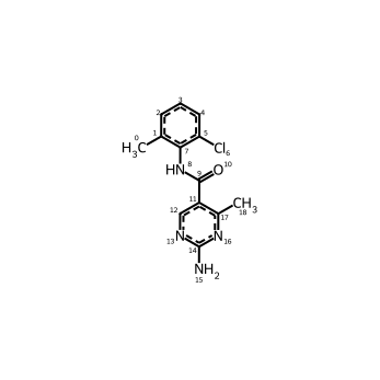 Cc1cccc(Cl)c1NC(=O)c1cnc(N)nc1C